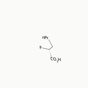 CCCC[C@@H](F)C(=O)O